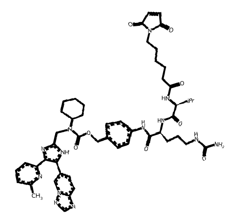 Cc1cccc(-c2nc(CN(C(=O)OCc3ccc(NC(=O)[C@H](CCCNC(N)=O)NC(=O)[C@@H](NC(=O)CCCCCN4C(=O)C=CC4=O)C(C)C)cc3)C3CCCCC3)[nH]c2-c2ccc3ncnn3c2)n1